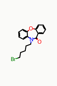 O=C1c2ccccc2Oc2ccccc2N1CCCCCBr